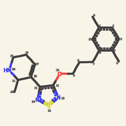 Cc1ccc(C)c(CCCOc2nsnc2C2=CCCNC2C)c1